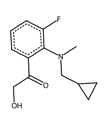 CN(CC1CC1)c1c(F)cccc1C(=O)CO